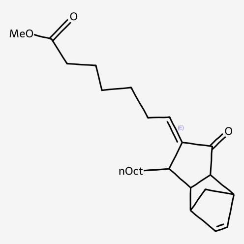 CCCCCCCCC1/C(=C\CCCCCC(=O)OC)C(=O)C2C3C=CC(C3)C12